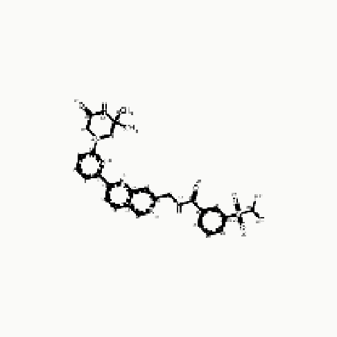 CC1(C)CN(c2cccc(-c3ccc4cnc(CNC(=O)c5cccc(S(=O)(=O)C(F)F)c5)cc4n3)n2)CC(=O)N1